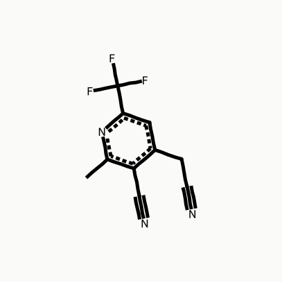 Cc1nc(C(F)(F)F)cc(CC#N)c1C#N